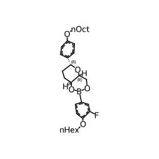 CCCCCCCCOc1ccc([C@H]2CC[C@@H]3OB(c4ccc(OCCCCCC)c(F)c4)OC[C@H]3O2)cc1